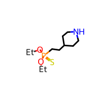 CCOP(=S)(CCC1CCNCC1)OCC